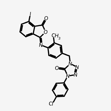 Cc1cc(Cn2nnn(-c3ccc(Cl)cc3)c2=O)ccc1N=C1OC(=O)c2c(I)cccc21